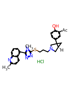 CC(=O)c1cc(C23C[C@H]2CN(CCCSc2nnc(-c4cccc5nc(C)ccc45)n2C)C3)ccc1O.Cl